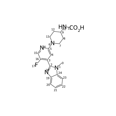 Cn1c(-c2cc(N3CCC(NC(=O)O)CC3)ncc2F)nc2ccccc21